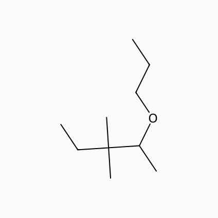 CCCOC(C)C(C)(C)CC